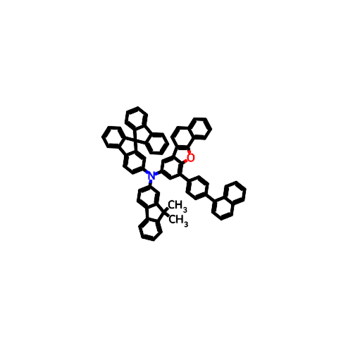 CC1(C)c2ccccc2-c2ccc(N(c3ccc4c(c3)C3(c5ccccc5-c5ccccc53)c3ccccc3-4)c3cc(-c4ccc(-c5cccc6ccccc56)cc4)c4oc5c6ccccc6ccc5c4c3)cc21